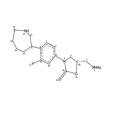 CC(=O)NC[C@H]1CN(c2ccc(C3CCCSNC3)c(F)c2)C(=O)O1